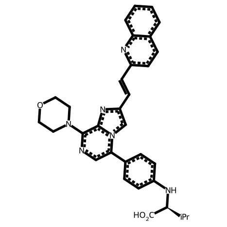 CC(C)[C@H](Nc1ccc(-c2cnc(N3CCOCC3)c3nc(/C=C/c4ccc5ccccc5n4)cn23)cc1)C(=O)O